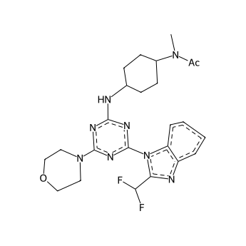 CC(=O)N(C)C1CCC(Nc2nc(N3CCOCC3)nc(-n3c(C(F)F)nc4ccccc43)n2)CC1